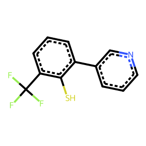 FC(F)(F)c1cccc(-c2cccnc2)c1S